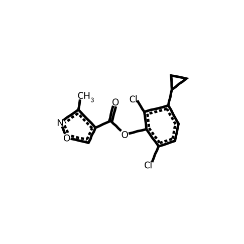 Cc1nocc1C(=O)Oc1c(Cl)ccc(C2CC2)c1Cl